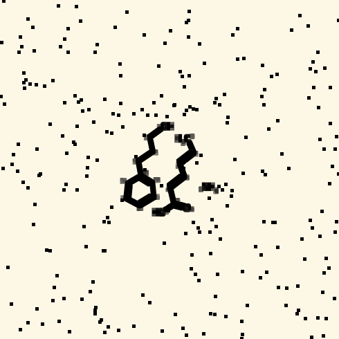 C/C=C/C=C/C(=O)O.N.OCCCc1ccccc1